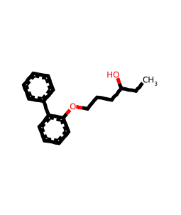 CCC(O)CCCOc1ccccc1-c1ccccc1